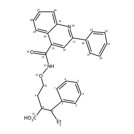 CCC(c1ccccc1)C(CCONC(=O)c1cc(-c2ccccc2)nc2ccccc12)C(=O)O